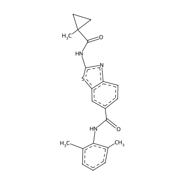 Cc1cccc(C)c1NC(=O)c1ccc2nc(NC(=O)C3(C)CC3)sc2c1